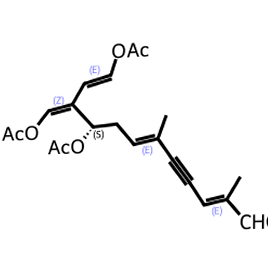 CC(=O)O/C=C(/C=C/OC(C)=O)[C@H](C/C=C(\C)C#C/C=C(\C)C=O)OC(C)=O